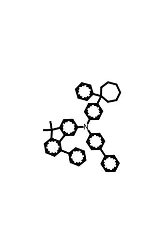 CC1(C)c2ccc(N(c3ccc(-c4ccccc4)cc3)c3ccc(C4(c5ccccc5)CCCCCC4)cc3)cc2-c2c(-c3ccccc3)cccc21